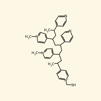 CC(CC(CC(CC(CC(C)c1cc[n+](CS)cc1)c1cc[n+](C)cc1)c1ccncc1)c1cc[n+](C)cc1)c1ccncc1